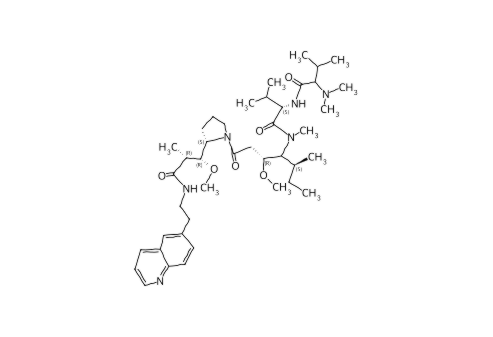 CC[C@H](C)C([C@@H](CC(=O)N1CCC[C@H]1[C@H](OC)[C@@H](C)C(=O)NCCc1ccc2ncccc2c1)OC)N(C)C(=O)[C@@H](NC(=O)C(C(C)C)N(C)C)C(C)C